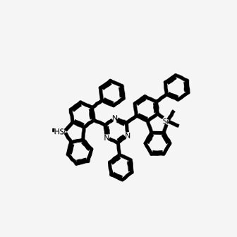 C[SiH]1c2ccccc2-c2c1ccc(-c1ccccc1)c2-c1nc(-c2ccccc2)nc(-c2ccc(-c3ccccc3)c3c2-c2ccccc2[Si]3(C)C)n1